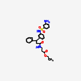 CCOC(=O)CCNC(=O)CC(c1ccccc1)c1cccc(NS(=O)(=O)c2cccc(N)c2)c1